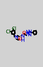 O=C(Cn1nnc(-c2ccccc2)n1)NC[C@H]1CN(Cc2ccc(Cl)c(Cl)c2)CCO1